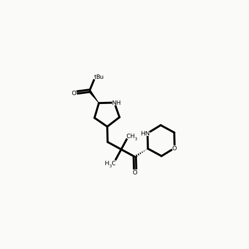 CC(C)(C)C(=O)[C@@H]1CC(CC(C)(C)C(=O)[C@H]2COCCN2)CN1